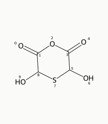 O=C1OC(=O)C(O)SC1O